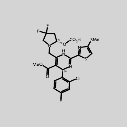 COC(=O)C1=C(CN2CC(F)(F)C[C@@H]2OC(=O)O)NC(c2nc(SC)cs2)=N[C@H]1c1ccc(F)cc1Cl